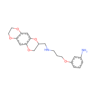 Nc1cccc(OCCCNCC2COc3cc4c(cc3O2)OCCO4)c1